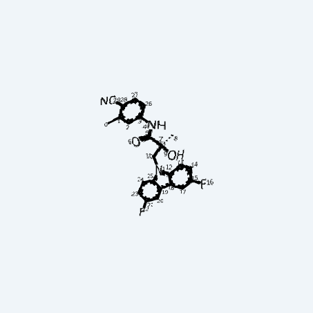 Cc1cc(NC(=O)[C@@](C)(O)Cn2c3ccc(F)cc3c3cc(F)ccc32)ccc1C#N